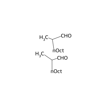 CCCCCCCCC(C)C=O.CCCCCCCCC(C)C=O